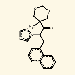 CC1(C(=O)C(Cc2cccc3ccccc23)n2cncn2)COCOC1